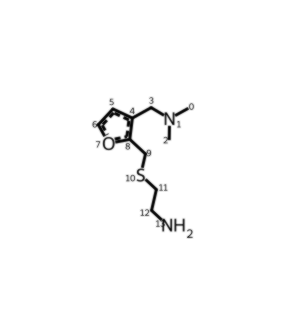 CN(C)Cc1ccoc1CSCCN